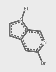 [CH2]Cn1ccc2cc(Br)ncc21